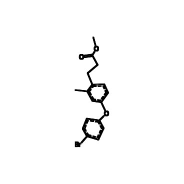 COC(=O)CCc1ccc(Oc2ccc(Br)cc2)cc1C